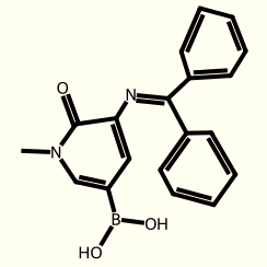 Cn1cc(B(O)O)cc(N=C(c2ccccc2)c2ccccc2)c1=O